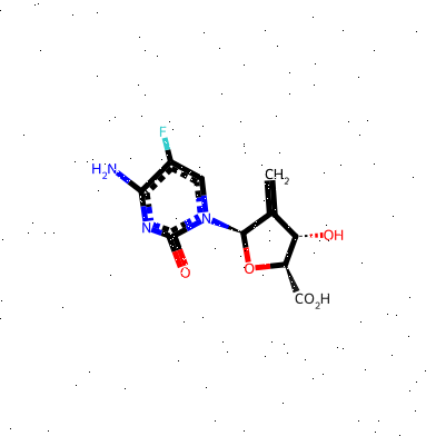 C=C1[C@H](n2cc(F)c(N)nc2=O)O[C@H](C(=O)O)[C@H]1O